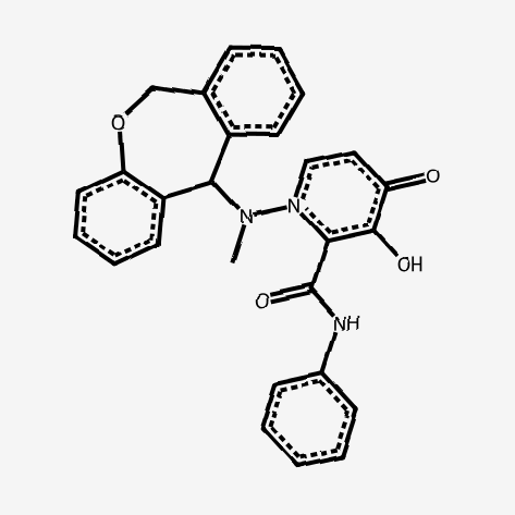 CN(C1c2ccccc2COc2ccccc21)n1ccc(=O)c(O)c1C(=O)Nc1ccccc1